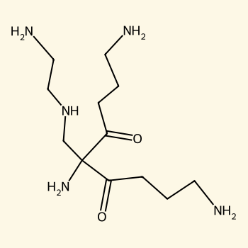 NCCCC(=O)C(N)(CNCCN)C(=O)CCCN